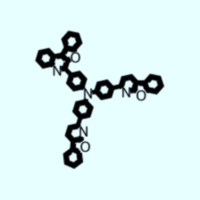 c1ccc2c(c1)nc(-c1ccc(N(c3ccc(-c4ccc5c(n4)oc4ccccc45)cc3)c3ccc(-c4ccc5c(n4)oc4ccccc45)cc3)cc1)c1oc3ccccc3c12